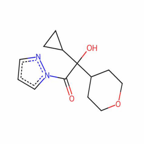 O=C(n1cccn1)C(O)(C1CCOCC1)C1CC1